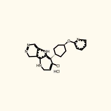 Cl.ClC1=CCNc2c3c([nH]c2=C1[C@H]1CC[C@H](Oc2ccccn2)CC1)=CN=NC3